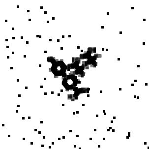 N=C(N)N1CCN(c2ccc(Cl)cc2)CC1.O=C(O)C(F)(F)F.O=C(O)C(F)(F)F